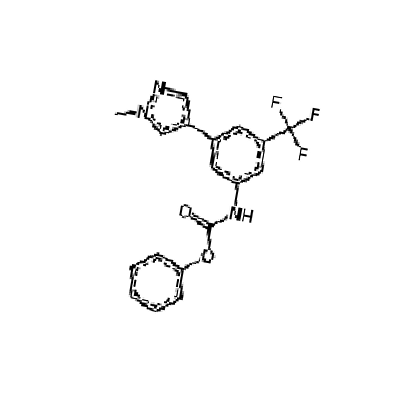 Cn1cc(-c2cc(NC(=O)Oc3ccccc3)cc(C(F)(F)F)c2)cn1